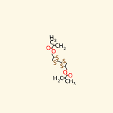 C=C(C)C(=O)OCC1CSC(C2SCC(COC(=O)C(=C)C)S2)S1